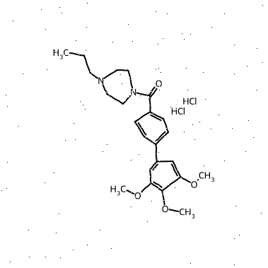 CCCN1CCN(C(=O)c2ccc(-c3cc(OC)c(OC)c(OC)c3)cc2)CC1.Cl.Cl